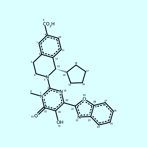 Cn1c(N2CCc3cc(C(=O)O)ccc3[C@@H]2C2CCCC2)nc(-c2nc3ccccc3o2)c(O)c1=O